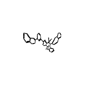 CC1(C)c2cc(-c3cccc(-c4ccc5ccccc5c4)c3)ccc2-c2nc3ccccc3n2C1c1ccc2ccccc2c1